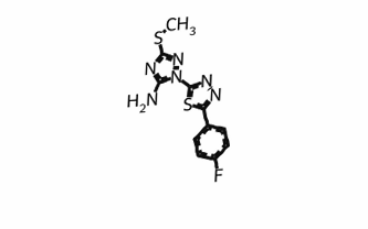 CSc1nc(N)n(-c2nnc(-c3ccc(F)cc3)s2)n1